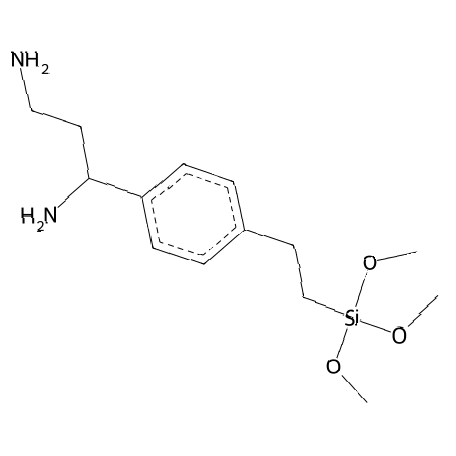 CO[Si](CCc1ccc(C(N)CCN)cc1)(OC)OC